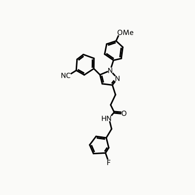 COc1ccc(-n2nc(CCC(=O)NCc3cccc(F)c3)cc2-c2cccc(C#N)c2)cc1